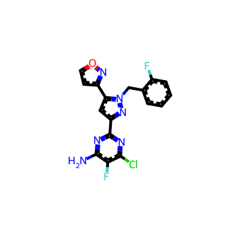 Nc1nc(-c2cc(-c3ccon3)n(Cc3ccccc3F)n2)nc(Cl)c1F